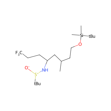 CC(CCO[Si](C)(C)C(C)(C)C)CC(CCC(F)(F)F)N[S+]([O-])C(C)(C)C